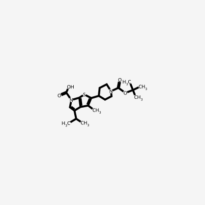 Cc1c(C2CCN(C(=O)OC(C)(C)C)CC2)sc2c1c(C(C)C)cn2C(=O)O